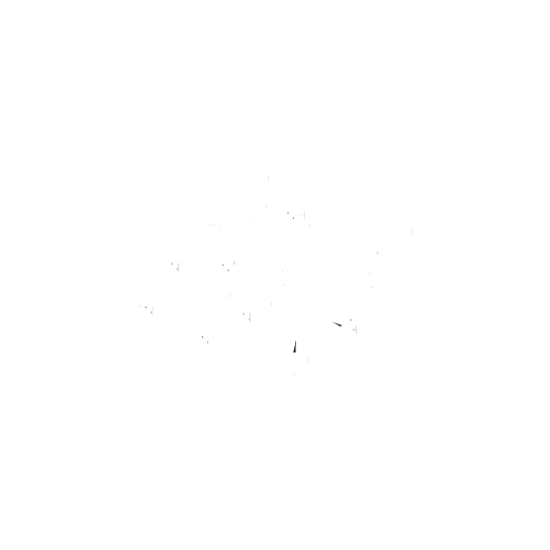 CC(C)C(N)C(=O)O.Nc1ncnc2c1ncn2[C@@H]1O[C@H](COP(=O)(O)O)[C@@H](O)[C@H]1O